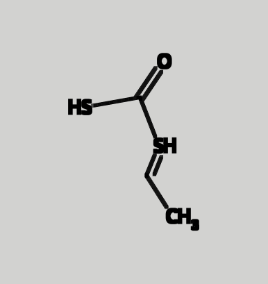 CC=[SH]C(=O)S